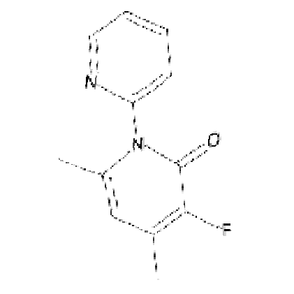 Cc1cc(C)n(-c2ccccn2)c(=O)c1F